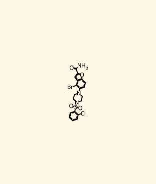 NC(=O)c1cc2c(Br)c(N3CCN(S(=O)(=O)c4ccccc4Cl)CC3)ccc2o1